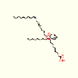 C1CC2CCC1C2.CCCCCCCC/C=C\CCCCCCCC(=O)O.CCCCCCCC/C=C\CCCCCCCC(=O)O